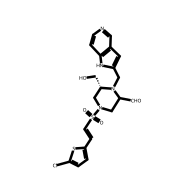 O=CC1CN(S(=O)(=O)C=Cc2ccc(Cl)s2)C[C@H](CO)N1Cc1cc2cnccc2[nH]1